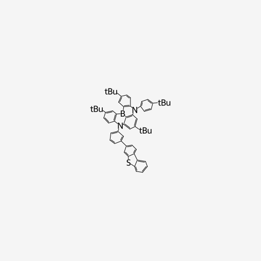 CC(C)(C)c1ccc(N2c3ccc(C(C)(C)C)cc3B3c4cc(C(C)(C)C)ccc4N(c4cccc(-c5ccc6c(c5)sc5ccccc56)c4)c4cc(C(C)(C)C)cc2c43)cc1